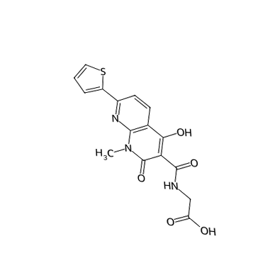 Cn1c(=O)c(C(=O)NCC(=O)O)c(O)c2ccc(-c3cccs3)nc21